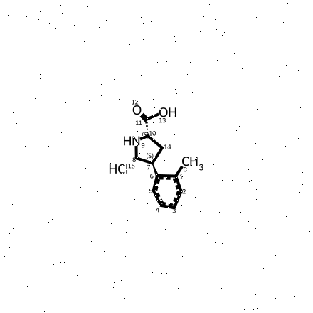 Cc1ccccc1[C@H]1CN[C@H](C(=O)O)C1.Cl